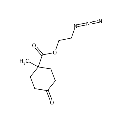 CC1(C(=O)OCCN=[N+]=[N-])CCC(=O)CC1